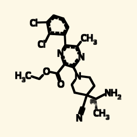 CCOC(=O)c1nc(-c2cccc(Cl)c2Cl)c(C)nc1N1CCC(C#N)([C@@H](C)N)CC1